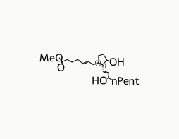 CCCCCC(O)C=C[C@H]1C(O)CC[C@@H]1CC=CCCCC(=O)OC